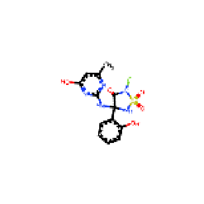 Cc1cc(O)nc(NC2(c3ccccc3O)NS(=O)(=O)N(F)C2=O)n1